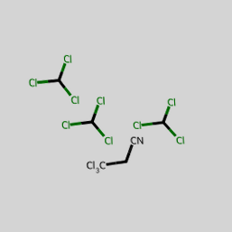 ClC(Cl)Cl.ClC(Cl)Cl.ClC(Cl)Cl.N#CCC(Cl)(Cl)Cl